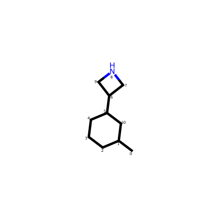 CC1CCCC(C2CNC2)C1